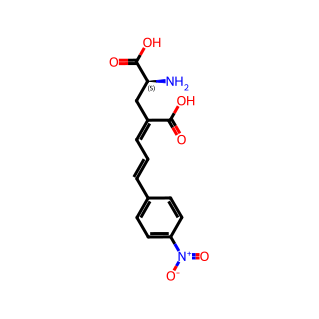 N[C@@H](CC(=CC=Cc1ccc([N+](=O)[O-])cc1)C(=O)O)C(=O)O